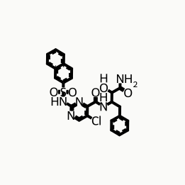 NC(=O)C(O)C(Cc1ccccc1)NC(=O)c1nc(NS(=O)(=O)c2ccc3ccccc3c2)ncc1Cl